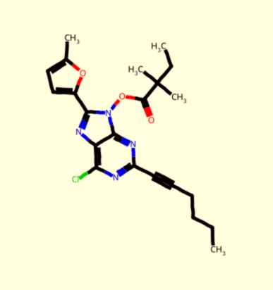 CCCCC#Cc1nc(Cl)c2nc(-c3ccc(C)o3)n(OC(=O)C(C)(C)CC)c2n1